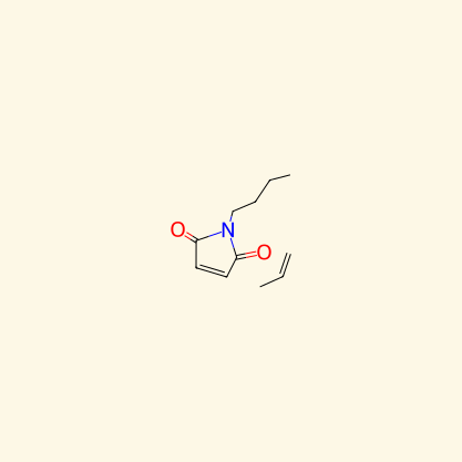 C=CC.CCCCN1C(=O)C=CC1=O